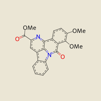 COC(=O)c1cc2c3ccccc3n3c(=O)c4c(OC)c(OC)ccc4c(n1)c23